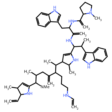 C=CNCCCC(C(=C)CC(C)C(NC)C1=CC(C)C(C=C)N1)C(C)C1C=C(C(NC(=C)C(Cc2c[nH]c3ccccc23)NC(=C)C2CCCN2C)C(C)c2c[nH]c3ccccc23)NC1C